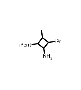 CCCC(C)C1C(C)C(C(C)C)C1N